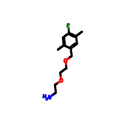 Cc1cc(COCCOCCN)c(C)cc1F